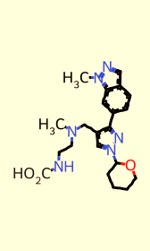 CN(CCNC(=O)O)Cc1cn(C2CCCCO2)nc1-c1ccc2cnn(C)c2c1